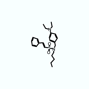 CCCCCN(Cc1ccc(N(CC)CC)cc1)S(=O)(=O)C=Cc1ccccc1